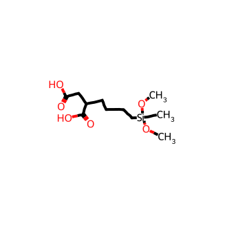 CO[Si](C)(CCCCC(CC(=O)O)C(=O)O)OC